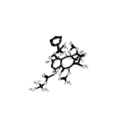 CC(=O)O[C@H]1C(=O)[C@@]2(C)C([C@H](OC(=O)c3ccccc3)[C@]34OC(=O)O[C@H]3C(=O)C(C)=C1C4(C)C)[C@]1(OC(C)=O)CO[C@@H]1C[C@@H]2OC(=O)OC(C)(C)C